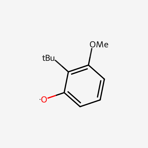 COc1cccc([O])c1C(C)(C)C